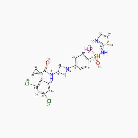 O=C(NC1CN(c2ccc([SH](=O)(P)Nc3nccs3)cc2)C1)C1(c2ccc(Cl)cc2Cl)CC1